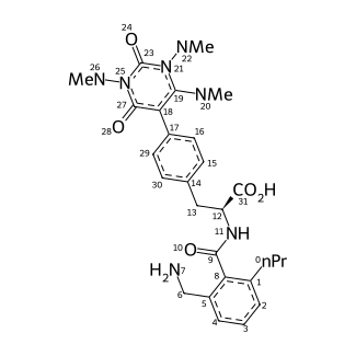 CCCc1cccc(CN)c1C(=O)N[C@@H](Cc1ccc(-c2c(NC)n(NC)c(=O)n(NC)c2=O)cc1)C(=O)O